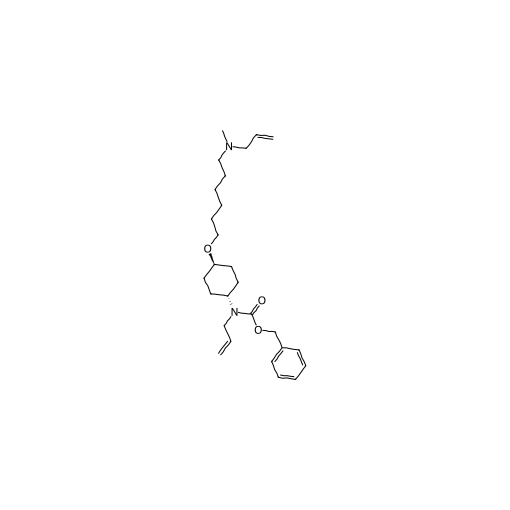 C=CCN(C)CCCCCCO[C@H]1CC[C@H](N(CC=C)C(=O)OCc2ccccc2)CC1